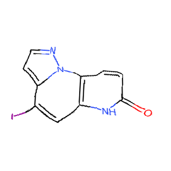 O=c1ccc2c(cc(I)c3ccnn32)[nH]1